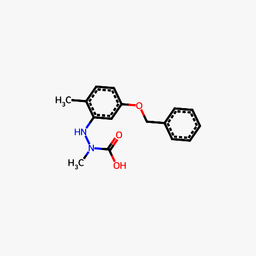 Cc1ccc(OCc2ccccc2)cc1NN(C)C(=O)O